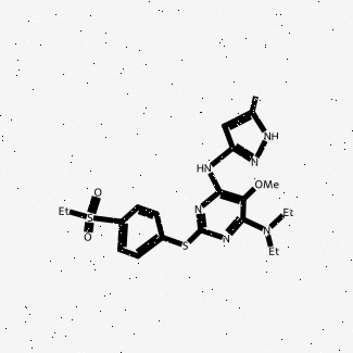 CCN(CC)c1nc(Sc2ccc(S(=O)(=O)CC)cc2)nc(Nc2cc(C)[nH]n2)c1OC